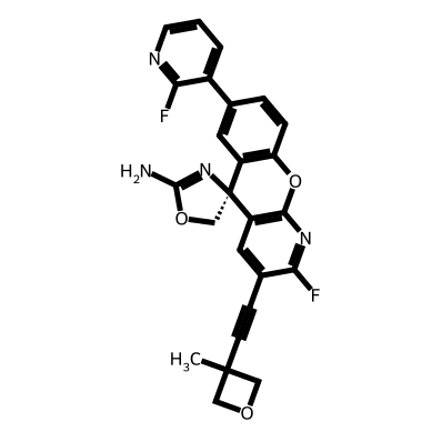 CC1(C#Cc2cc3c(nc2F)Oc2ccc(-c4cccnc4F)cc2[C@@]32COC(N)=N2)COC1